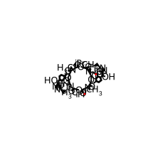 CC(C)C[C@H]1C(=O)O[C@H](Cc2ccc(C(O)c3nnc(C4CC4)o3)cc2)C(=O)N(C)[C@@H](CC(C)C)C(=O)O[C@H](C)C(=O)N(C)[C@@H](CC(C)C)C(=O)O[C@H](Cc2ccc(C(O)c3nnc(C4CC4)o3)cc2)C(=O)N(C)[C@@H](CC(C)C)C(=O)O[C@H](C)C(=O)N1C